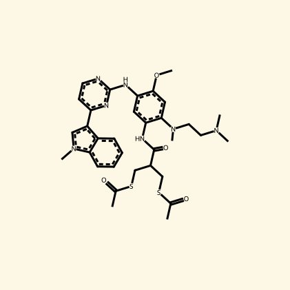 COc1cc(N(C)CCN(C)C)c(NC(=O)C(CSC(C)=O)CSC(C)=O)cc1Nc1nccc(-c2cn(C)c3ccccc23)n1